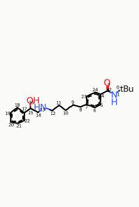 CC(C)(C)NC(=O)c1ccc(CCCCCNCC(O)c2ccccc2)cc1